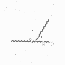 CCCCCCCCCCCCCC(=O)OCCN(CCCCNCCCN)CCOC(=O)CCCCCCCCCCCCC